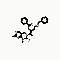 C/C(=C(\CCOCc1ccccc1)SC(=O)c1ccccc1)N1Cc2cnc(C)nc2NC1=O